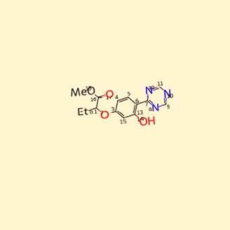 CCC(Oc1ccc(-c2ncncn2)c(O)c1)C(=O)OC